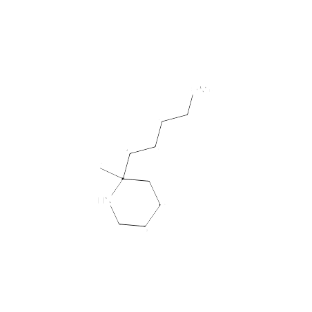 COCCCCC1(C)CCCCN1